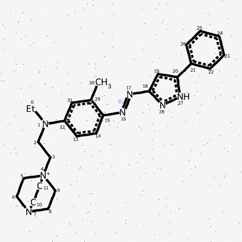 CCN(CC[N+]12CCN(CC1)CC2)c1ccc(/N=N/c2cc(-c3ccccc3)[nH]n2)c(C)c1